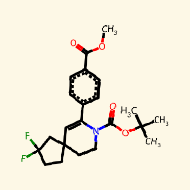 COC(=O)c1ccc(C2=CC3(CCN2C(=O)OC(C)(C)C)CCC(F)(F)C3)cc1